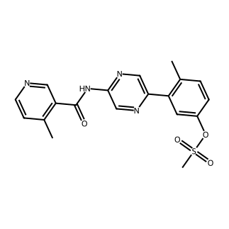 Cc1ccncc1C(=O)Nc1cnc(-c2cc(OS(C)(=O)=O)ccc2C)cn1